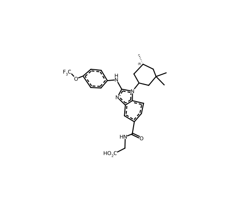 C[C@H]1CC(n2c(Nc3ccc(OC(F)(F)F)cc3)nc3cc(C(=O)NCC(=O)O)ccc32)CC(C)(C)C1